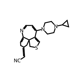 N#CC=C1CC=C2N=CC=C(N3CCN(C4CC4)CC3)C3=CSCC23C1